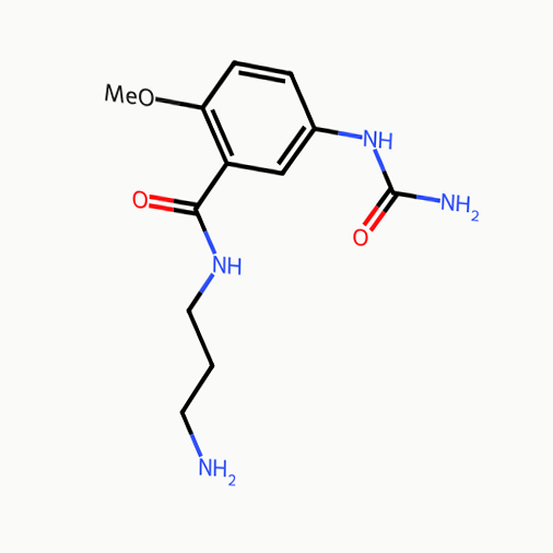 COc1ccc(NC(N)=O)cc1C(=O)NCCCN